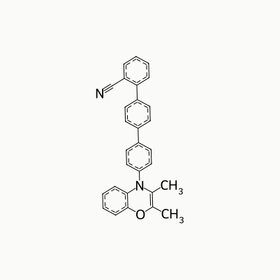 CC1=C(C)N(c2ccc(-c3ccc(-c4ccccc4C#N)cc3)cc2)c2ccccc2O1